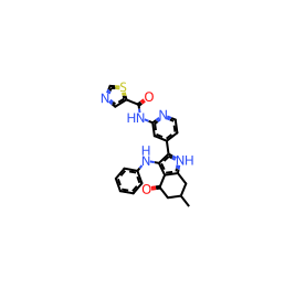 CC1CC(=O)c2c([nH]c(-c3ccnc(NC(=O)c4cncs4)c3)c2Nc2ccccc2)C1